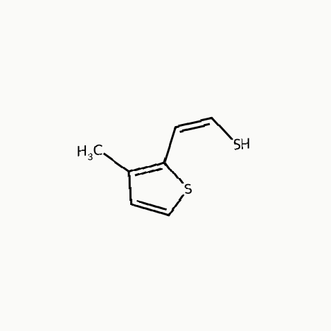 Cc1ccsc1/C=C\S